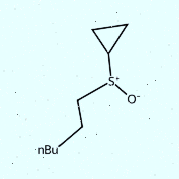 CCCCCC[S+]([O-])C1CC1